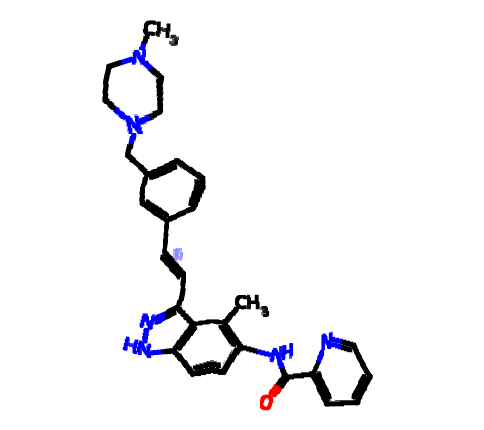 Cc1c(NC(=O)c2ccccn2)ccc2[nH]nc(/C=C/c3cccc(CN4CCN(C)CC4)c3)c12